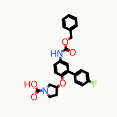 O=C(Nc1ccc(OC2CCN(C(=O)O)C2)c(-c2ccc(F)cc2)c1)OCc1ccccc1